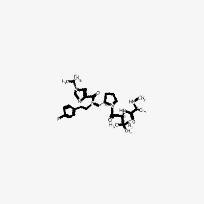 CN[C@@H](C)C(=O)N[C@H](C(=O)N1CCC[C@H]1CN(CCc1ccc(F)cc1)C(=O)c1cn(C(C)C)cn1)C(C)(C)C